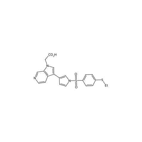 CCSc1ccc(S(=O)(=O)n2ccc(-c3cn(CC(=O)O)c4cnccc34)c2)cc1